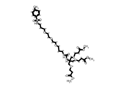 COC(=O)CCOCC(COCCC(=O)OC)(COCCC(=O)OC)NC(=O)NCCCOCCOCCOCCCNS(=O)(=O)c1ccc(C)cc1